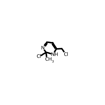 CC1(Cl)N=CC=C(CCl)N1